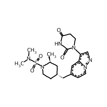 C[C@H]1C[C@H](Cc2ccn3ncc(N4CCC(=O)NC4=O)c3c2)CCN1S(=O)(=O)N(C)C